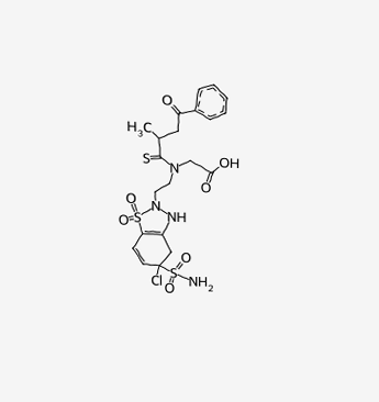 CC(CC(=O)c1ccccc1)C(=S)N(CCN1NC2=C(C=CC(Cl)(S(N)(=O)=O)C2)S1(=O)=O)CC(=O)O